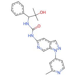 Cc1cc(-n2ncc3cc(NC(=O)NC(c4ccccc4)C(C)(C)O)ncc32)ccn1